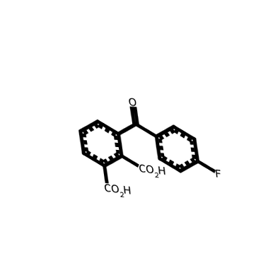 O=C(O)c1cccc(C(=O)c2ccc(F)cc2)c1C(=O)O